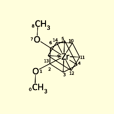 CO[C]12[CH]3[CH]4[CH]5[C]1(OC)[Zr]43521678[CH]2[CH]1[CH]6[CH]7[CH]28